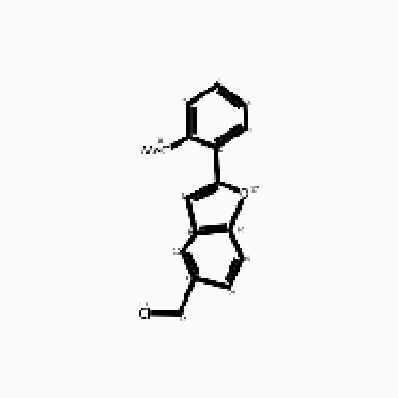 COc1ccccc1-c1cc2cc(CCl)ccc2o1